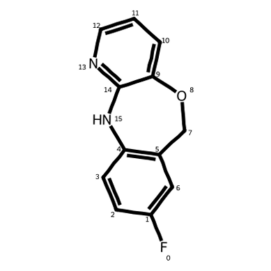 Fc1ccc2c(c1)COc1cccnc1N2